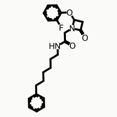 O=C(CN1C(=O)CC1Oc1ccccc1F)NCCCCCCc1ccccc1